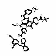 CCOC(=O)c1nc(Nc2ccc(OC(F)(F)F)cc2)nc2c1n(-c1ccc(C(=O)N3CCc4c(n(Cc5ccc(C#N)cc5F)c5ncccc45)C3)nc1)c(=O)n2C1CCN(C(=O)OC(C)(C)C)CC1